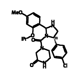 COc1ccc(C2NC[C@H](c3ccc(Cl)cc3)N2C(=O)N2CCNC(=O)C2)c(OC(C)C)c1